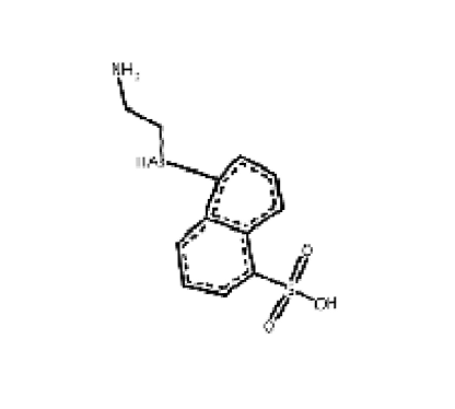 NCC[AsH]c1cccc2c(S(=O)(=O)O)cccc12